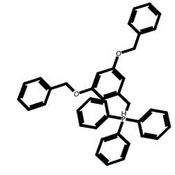 c1ccc(COc2cc(C[PH](c3ccccc3)(c3ccccc3)c3ccccc3)cc(OCc3ccccc3)c2)cc1